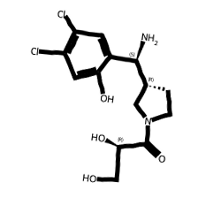 N[C@H](c1cc(Cl)c(Cl)cc1O)[C@@H]1CCN(C(=O)[C@H](O)CO)C1